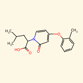 Cc1ccccc1Oc1ccn(C(CC(C)C)C(=O)O)c(=O)c1